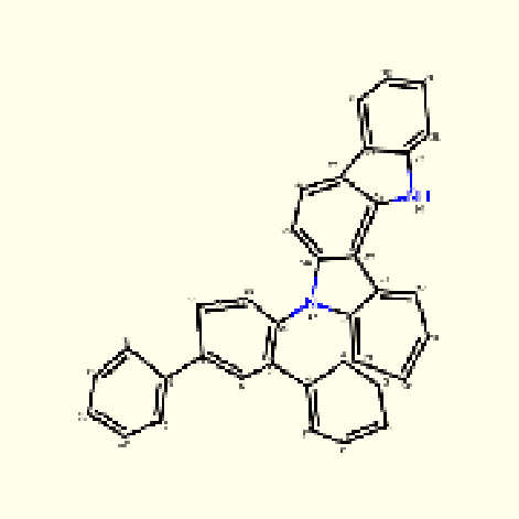 C1=CCCC(c2cc(-c3ccccc3)ccc2-n2c3ccccc3c3c4[nH]c5ccccc5c4ccc32)=C1